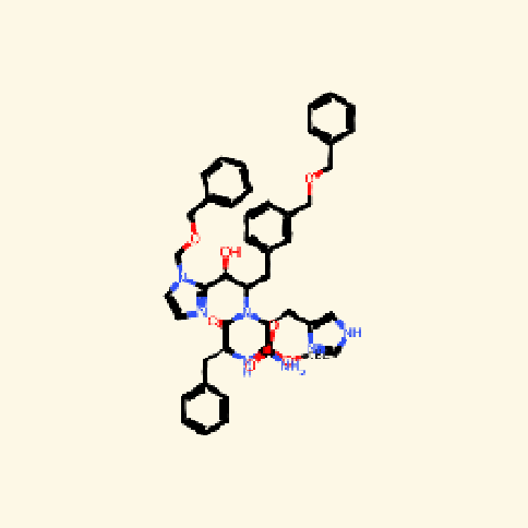 CC(C)(C)OC(=O)N[C@@H](Cc1ccccc1)C(=O)N(C(Cc1cccc(COCc2ccccc2)c1)[C@H](O)c1nccn1COCc1ccccc1)[C@@H](Cc1c[nH]cn1)C(N)=O